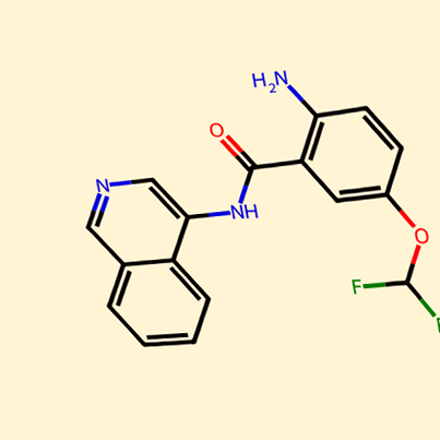 Nc1ccc(OC(F)F)cc1C(=O)Nc1cncc2ccccc12